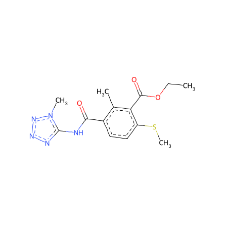 CCOC(=O)c1c(SC)ccc(C(=O)Nc2nnnn2C)c1C